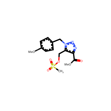 COC(=O)c1nnn(Cc2ccc(OC)cc2)c1COS(C)(=O)=O